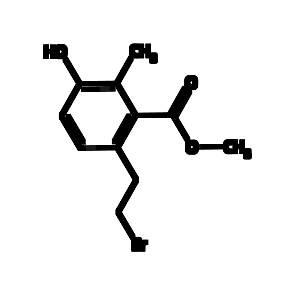 COC(=O)c1c(CCBr)ccc(O)c1C